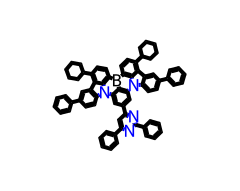 c1ccc(-c2ccc3c(c2)c2c(C4CCCCC4)ccc4c2n3-c2cc(-c3cc(-c5ccccc5)nc(-c5ccccc5)n3)cc3c2B4c2ccc(C4CCCCC4)c4c5cc(-c6ccccc6)ccc5n-3c24)cc1